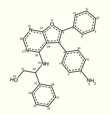 Nc1ccc(-c2c(-c3ccccc3)oc3ncnc(NC(CO)c4ccccc4)c23)cc1